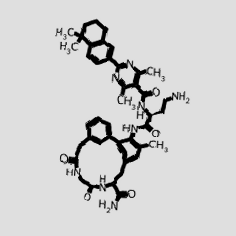 Cc1cc2cc(c1NC(=O)[C@H](CCN)NC(=O)c1c(C)nc(-c3ccc4c(c3)CCCC4(C)C)nc1C)-c1cccc(c1)CC(=O)NCC(=O)NC(C(N)=O)C2